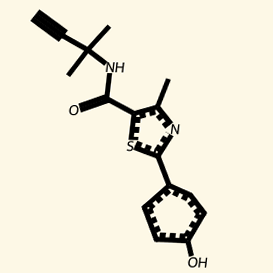 C#CC(C)(C)NC(=O)c1sc(-c2ccc(O)cc2)nc1C